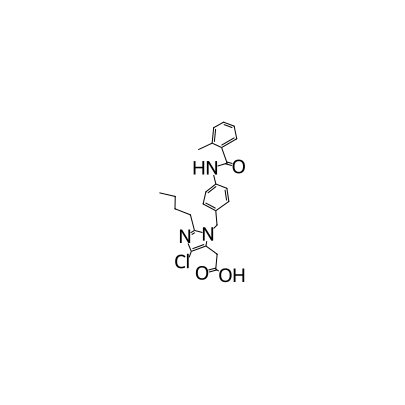 CCCCc1nc(Cl)c(CC(=O)O)n1Cc1ccc(NC(=O)c2ccccc2C)cc1